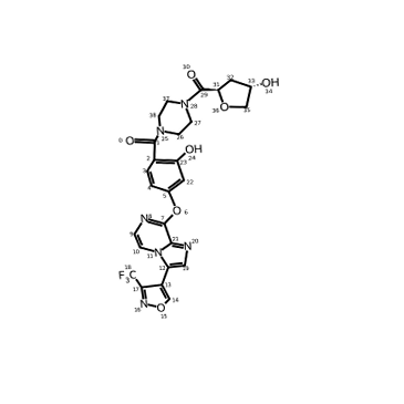 O=C(c1ccc(Oc2nccn3c(-c4conc4C(F)(F)F)cnc23)cc1O)N1CCN(C(=O)[C@H]2C[C@H](O)CO2)CC1